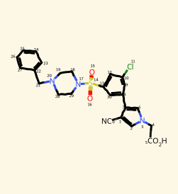 N#Cc1cn(CC(=O)O)cc1-c1cc(Cl)cc(S(=O)(=O)N2CCN(Cc3ccccc3)CC2)c1